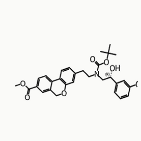 COC(=O)c1ccc2c(c1)COc1cc(CCN(C[C@H](O)c3cccc(Cl)c3)C(=O)OC(C)(C)C)ccc1-2